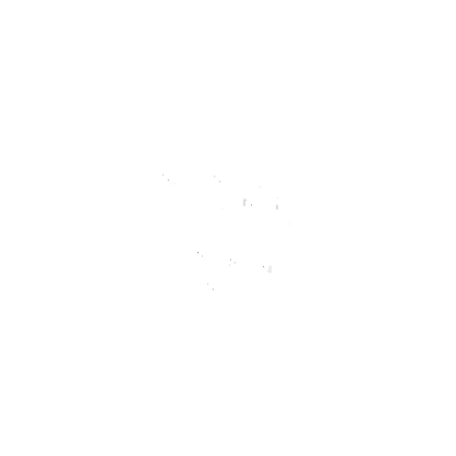 Cc1cnc(Nc2ccc(N3CCCC3)c(C#N)c2)nc1Nc1ccc2oc(=O)[nH]c2c1